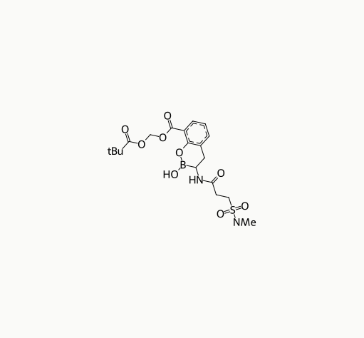 CNS(=O)(=O)CCC(=O)NC1Cc2cccc(C(=O)OCOC(=O)C(C)(C)C)c2OB1O